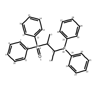 CC(C(C)P(=O)(c1ccccc1)c1ccccc1)P(c1ccccc1)c1ccccc1